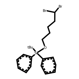 CC(C)(C)[Si](OCCCCC(Br)Br)(c1ccccc1)c1ccccc1